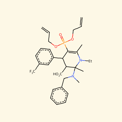 C=CCOP(=O)(OCC=C)C1=C(C)N(CC)C(C)(N(C)Cc2ccccc2)C(C(=O)O)C1c1cccc(C(F)(F)F)c1